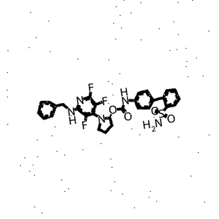 NS(=O)(=O)c1ccccc1-c1ccc(NC(=O)O[C@H]2CCCN2c2c(F)c(F)nc(NCc3ccccc3)c2F)cc1